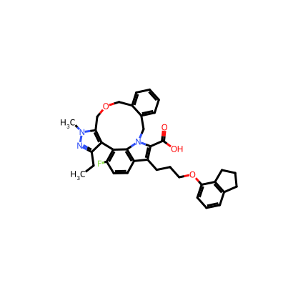 CCc1nn(C)c2c1-c1c(F)ccc3c(CCCOc4cccc5c4CCC5)c(C(=O)O)n(c13)Cc1ccccc1COC2